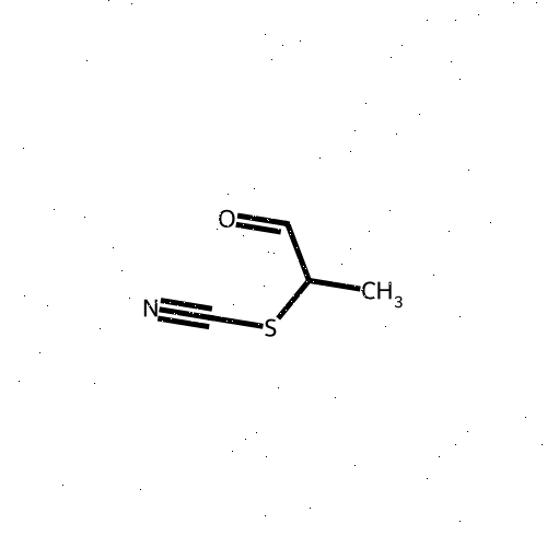 CC(C=O)SC#N